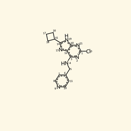 Clc1nc(NCc2ccncc2)c2nc(C3CCC3)[nH]c2n1